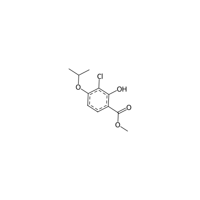 COC(=O)c1ccc(OC(C)C)c(Cl)c1O